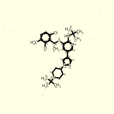 Cc1ccc(Cl)c([C@@H](C)Oc2cc(-c3cnn(C4CCN(C(C)(C)C)CC4)c3)cnc2NC(C)(C)C)c1Cl